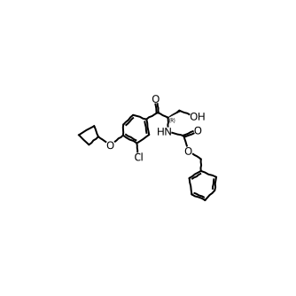 O=C(N[C@H](CO)C(=O)c1ccc(OC2CCC2)c(Cl)c1)OCc1ccccc1